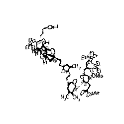 C=C1C[C@H](CC[C@@]23C[C@H]4O[C@H]5[C@@H](O2)[C@@H](O[Si](CC)(CC)CC)[C@H](CCCO)O[C@H]5[C@H]4O3)O[C@H]1CC[C@H]1C[C@@H](C)C(=C)[C@@H](C[C@@H]2O[C@H](CC(CO[Si](CC)(CC)CC)O[Si](CC)(CC)CC)[C@H](OC)[C@H]2CC(=O)OC)O1